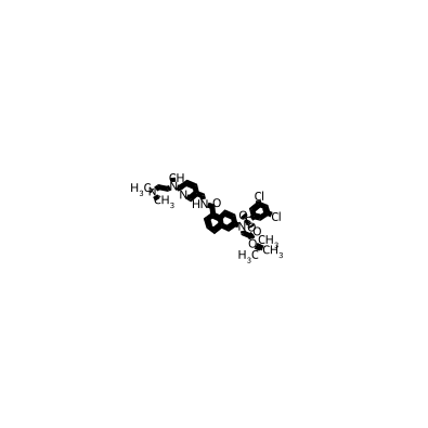 CN(C)CCN(C)c1ccc(CNC(=O)c2cccc3cc(N(CC(=O)OC(C)(C)C)S(=O)(=O)c4cc(Cl)cc(Cl)c4)ccc23)cn1